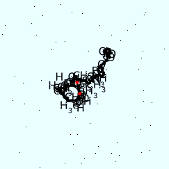 COc1cc2cc(c1Cl)N(C)C(=O)C[C@H](OC(=O)[C@H](C)N(C)C(=O)CCSSC(C)(C)CC(=O)N/N=C1\CCCc3cc(OCCCC(=O)ON4C(=O)CCC4=O)cc(F)c31)[C@@]1(C)C[C@H]1[C@H](C)[C@@H]1C[C@@](O)(NC(=O)O1)[C@H](OC)/C=C/C=C(\C)C2